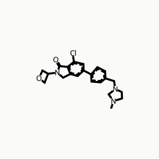 CN1CCN(Cc2ccc(-c3cc(Cl)c4c(c3)CN(C3COC3)C4=O)cc2)C1